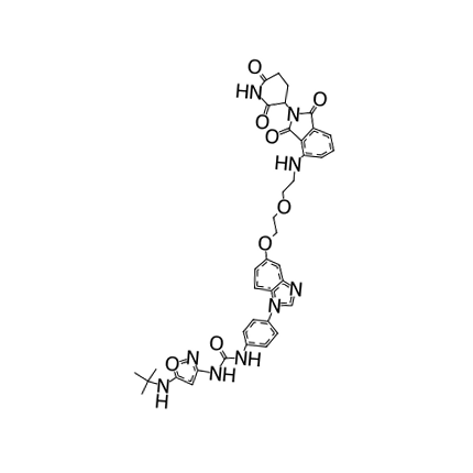 CC(C)(C)Nc1cc(NC(=O)Nc2ccc(-n3cnc4cc(OCCOCCNc5cccc6c5C(=O)N(C5CCC(=O)NC5=O)C6=O)ccc43)cc2)no1